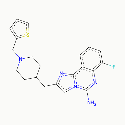 Nc1nc2c(F)cccc2c2nc(CC3CCN(Cc4cccs4)CC3)cn12